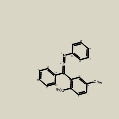 COc1ccc(OCC(C)C)c(C(=C=Nc2ccccc2)c2ccccc2)c1